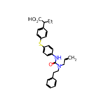 C=CCN(CCc1ccccc1)C(=O)Nc1ccc(Sc2ccc(C(CC)C(=O)O)cc2)cc1